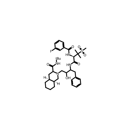 CC(C)(C)NC(=O)C1C[C@@H]2CCCC[C@@H]2CN1CC(O)C(Cc1ccccc1)NC(=O)[C@@H](NC(=O)c1cccc(F)c1)C(C)(C)S(C)(=O)=O